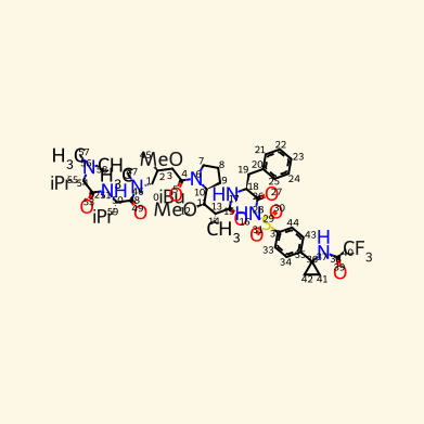 CC[C@H](C)[C@@H]([C@H](CC(=O)N1CCC[C@H]1[C@H](OC)[C@@H](C)C(=O)N[C@@H](Cc1ccccc1)C(=O)NS(=O)(=O)c1ccc(C2(NC(=O)C(F)(F)F)CC2)cc1)OC)N(C)C(=O)[C@@H](NC(=O)[C@H](C(C)C)N(C)C)C(C)C